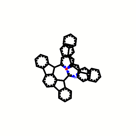 c1ccc(-c2cc(-c3ccccc3)nc(C3c4ccccc4-c4ccc5c(c43)C(c3nc(-c4ccccc4)cc(-c4ccccc4)n3)c3ccccc3-5)c2)cc1